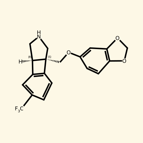 FC(F)(F)c1ccc2c(c1)[C@H]1CNC[C@@]21COc1ccc2c(c1)OCO2